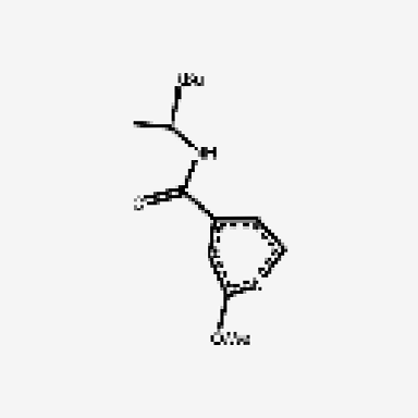 COc1cc(C(=O)N[C@@H](C)C(C)(C)C)ccn1